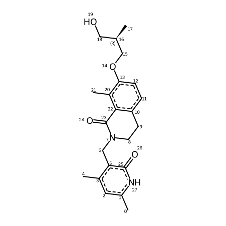 Cc1cc(C)c(CN2CCc3ccc(OC[C@H](C)CO)c(C)c3C2=O)c(=O)[nH]1